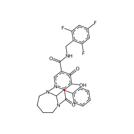 O=C(NCc1c(F)cc(F)cc1F)c1cn2c(c(O)c1=O)C(=O)N1CCCCN2C1Cc1ccccc1